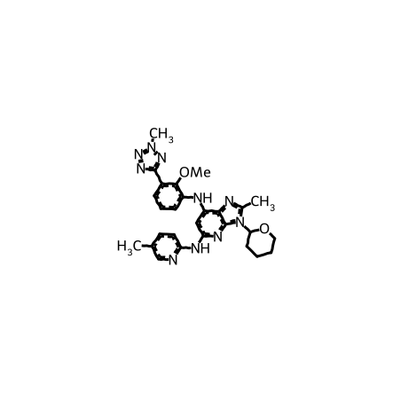 COc1c(Nc2cc(Nc3ccc(C)cn3)nc3c2nc(C)n3C2CCCCO2)cccc1-c1nnn(C)n1